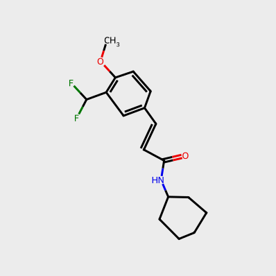 COc1ccc(C=CC(=O)NC2CCCCC2)cc1C(F)F